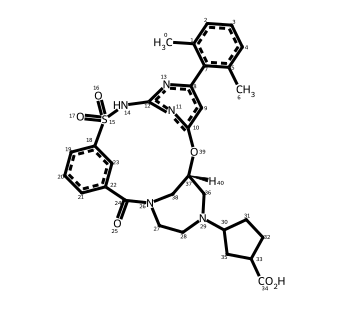 Cc1cccc(C)c1-c1cc2nc(n1)NS(=O)(=O)c1cccc(c1)C(=O)N1CCN(C3CCC(C(=O)O)C3)C[C@H](C1)O2